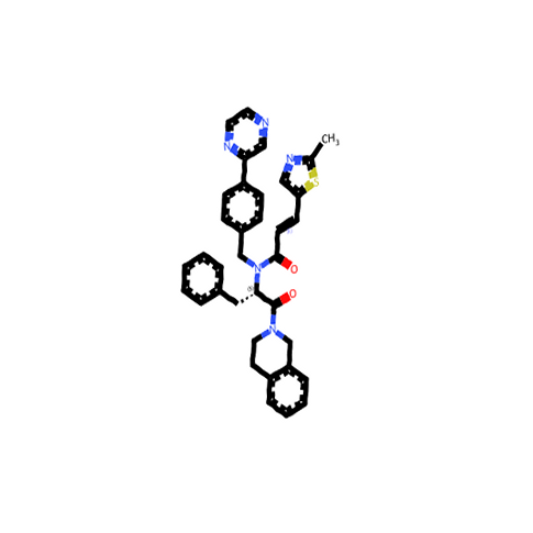 Cc1ncc(/C=C/C(=O)N(Cc2ccc(-c3cnccn3)cc2)[C@@H](Cc2ccccc2)C(=O)N2CCc3ccccc3C2)s1